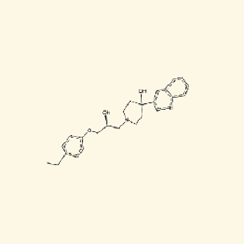 CCc1ccc(OC[C@@H](O)CN2CCC(O)(c3cnc4ccccc4c3)CC2)cc1